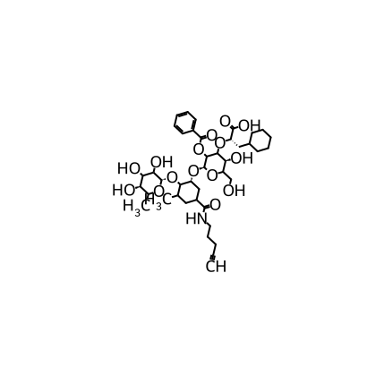 C#CCCCNC(=O)C1CC(C)C(O[C@@H]2OC(C)[C@@H](O)C(O)C2O)[C@H](O[C@@H]2OC(CO)[C@H](O)C(O[C@@H](CC3CCCCC3)C(=O)O)C2OC(=O)c2ccccc2)C1